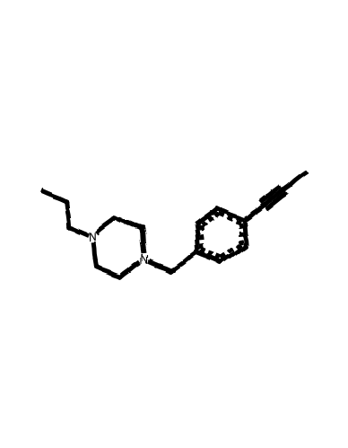 CC#Cc1ccc(CN2CCN(CCC)CC2)cc1